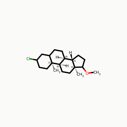 COC1CC[C@H]2[C@@H]3CCC4CC(Cl)CC[C@]4(C)[C@@H]3CC[C@]12C